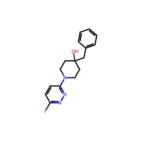 OC1(Cc2ccccc2)CCN(c2ccc(I)nn2)CC1